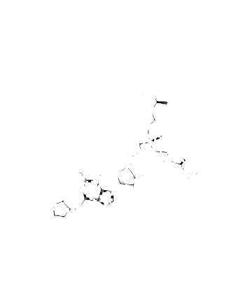 COC(=O)OCOP(=O)(COC[C@H]1O[C@@H](n2cnc3c(N[C@H]4CCOC4)nc(Cl)nc32)C[C@@H]1O)OCOC(=O)OC